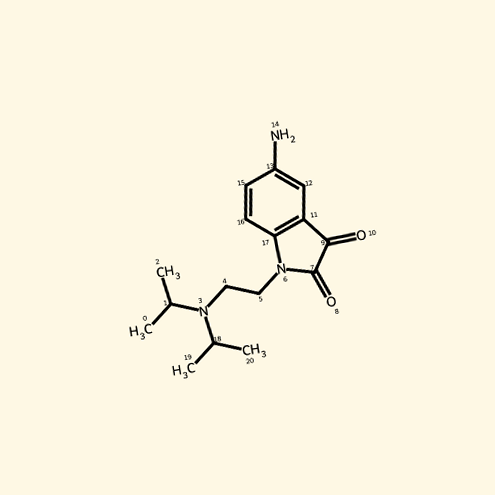 CC(C)N(CCN1C(=O)C(=O)c2cc(N)ccc21)C(C)C